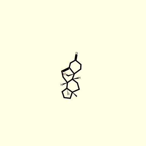 C[C@@]12CCC[C@H]1[C@@H]1CC=C3CC(=O)CC[C@]3(CO)[C@@H]1CC2